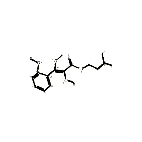 COC(C(=O)OCCC(C)C)=C(OC)c1ccccc1OC